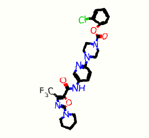 O=C(Nc1ccc(N2CCN(C(=O)Oc3ccccc3Cl)CC2)nc1)c1oc(N2CCCCC2)nc1C(F)(F)F